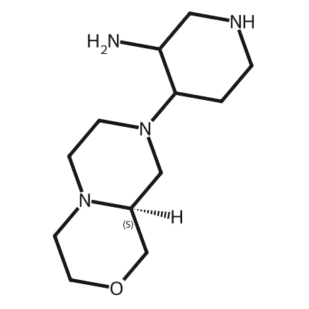 NC1CNCCC1N1CCN2CCOC[C@@H]2C1